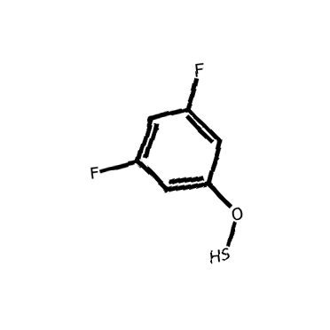 Fc1cc(F)cc(OS)c1